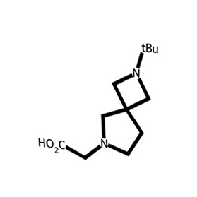 CC(C)(C)N1CC2(CCN(CC(=O)O)C2)C1